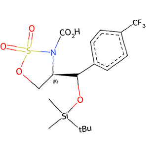 CC(C)(C)[Si](C)(C)OC(c1ccc(C(F)(F)F)cc1)[C@H]1COS(=O)(=O)N1C(=O)O